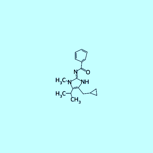 CC(C)c1c(CC2CC2)[nH]/c(=N\C(=O)c2ccccc2)n1C